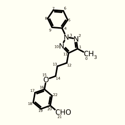 Cc1nn(-c2ccccc2)nc1CCCOc1cccc(C=O)c1